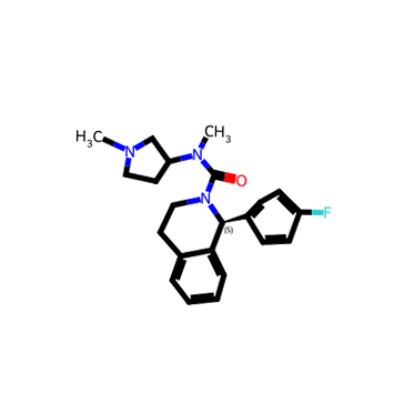 CN1CCC(N(C)C(=O)N2CCc3ccccc3[C@@H]2c2ccc(F)cc2)C1